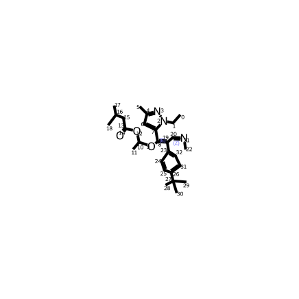 CCn1nc(C)cc1/C(OC(C)OC(=O)CC(C)C)=C(\C=N/C)c1ccc(C(C)(C)C)cc1